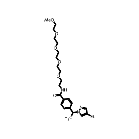 CCc1cnn(C(C)c2ccc(C(=O)NCCOCCOCCOCCOCCOC)cc2)c1